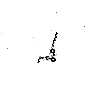 CCCCCCCCCCOc1ccc(C(=O)Oc2ccccc2-c2ncc(OC(=O)[C@@H]3O[C@@H]3CCC)cn2)c(F)c1F